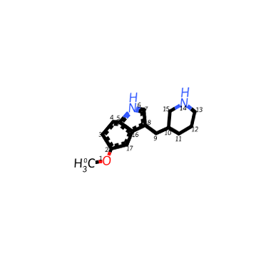 COc1ccc2[nH]cc(CC3CCCNC3)c2c1